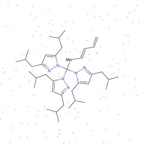 C=CC=[CH][Mn][C](n1nc(CC(C)C)cc1CC(C)C)(n1nc(CC(C)C)cc1CC(C)C)n1nc(CC(C)C)cc1CC(C)C